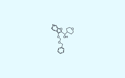 OC(c1oc2cnccc2c1OCOCc1ccccc1)C1CCOCC1